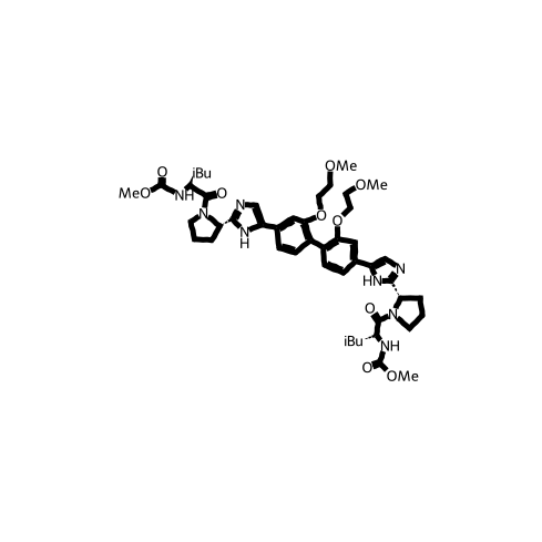 CC[C@H](C)C(NC(=O)OC)C(=O)N1CCC[C@H]1c1ncc(-c2ccc(-c3ccc(-c4cnc([C@@H]5CCCN5C(=O)C(NC(=O)OC)[C@@H](C)CC)[nH]4)cc3OCCOC)c(OCCOC)c2)[nH]1